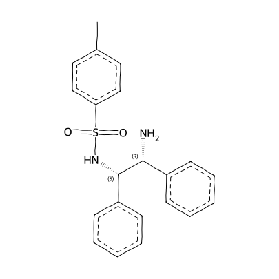 Cc1ccc(S(=O)(=O)N[C@@H](c2ccccc2)[C@H](N)c2ccccc2)cc1